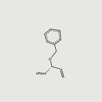 C=C[C@H](CCCCC)OCc1ccccc1